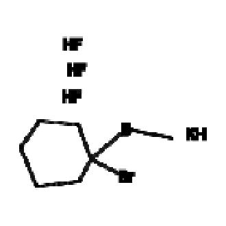 C[B]C1(Br)CCCCC1.F.F.F.[KH]